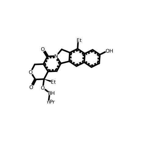 CCCBO[C@]1(CC)C(=O)OCc2c1cc1n(c2=O)Cc2c-1cc1ccc(O)cc1c2CC